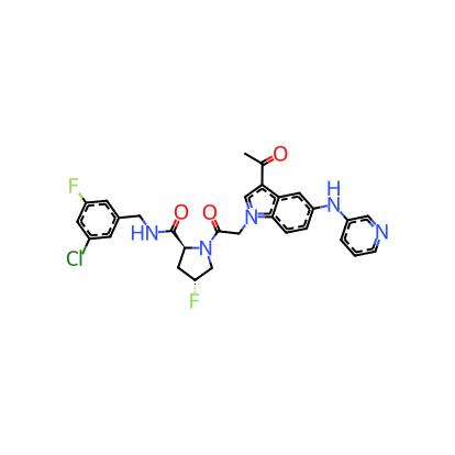 CC(=O)c1cn(CC(=O)N2C[C@H](F)C[C@H]2C(=O)NCc2cc(F)cc(Cl)c2)c2ccc(Nc3cccnc3)cc12